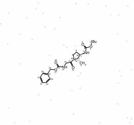 C[C@H]1[C@H](NC(=O)OC(C)(C)C)CCN1C(=O)CNC(=O)OCc1ccccc1